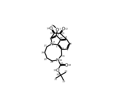 COc1c2n3c4c(ccc(c14)C(=O)C2=O)CN(C(=O)OC(C)(C)C)CCCC3